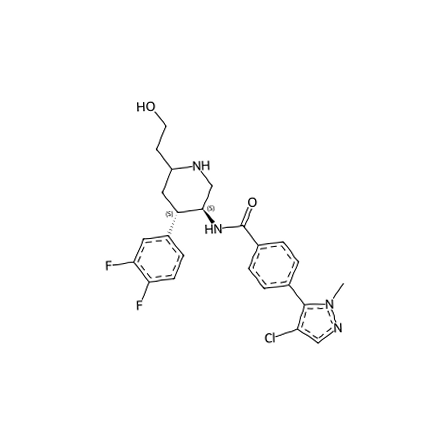 Cn1ncc(Cl)c1-c1ccc(C(=O)N[C@@H]2CNC(CCO)C[C@H]2c2ccc(F)c(F)c2)cc1